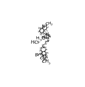 Cc1ccc2c(-c3nnc(SCCCN4CCc5cc6nc(C)oc6c(Br)c5CC4)n3C)cccc2n1.Cl